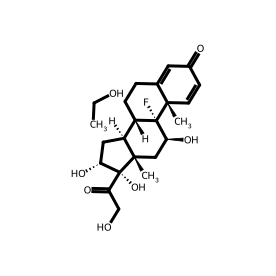 CCO.C[C@]12C=CC(=O)C=C1CC[C@H]1[C@@H]3C[C@@H](O)[C@](O)(C(=O)CO)[C@@]3(C)C[C@H](O)[C@@]12F